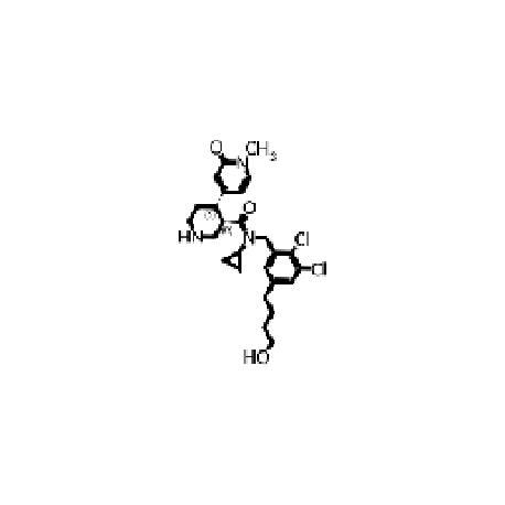 Cn1ccc([C@H]2CCNC[C@@H]2C(=O)N(Cc2cc(CCCCO)cc(Cl)c2Cl)C2CC2)cc1=O